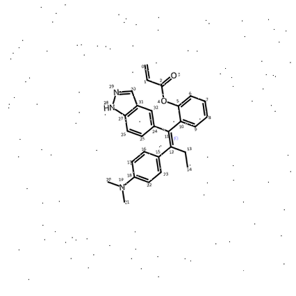 C=CC(=O)Oc1ccccc1/C(=C(\CC)c1ccc(N(C)C)cc1)c1ccc2[nH]ncc2c1